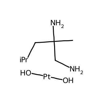 CC(C)CC(C)(N)CN.[OH][Pt][OH]